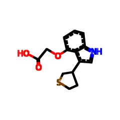 O=C(O)COc1cccc2[nH]cc(C3CCSC3)c12